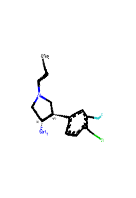 COCCN1C[C@@H](N)[C@H](c2ccc(Cl)c(F)c2)C1